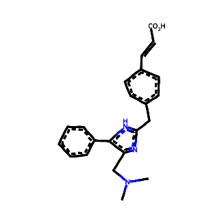 CN(C)Cc1nc(Cc2ccc(/C=C/C(=O)O)cc2)[nH]c1-c1ccccc1